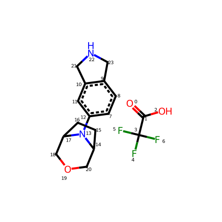 O=C(O)C(F)(F)F.c1cc2c(cc1N1C3CCC1COC3)CNC2